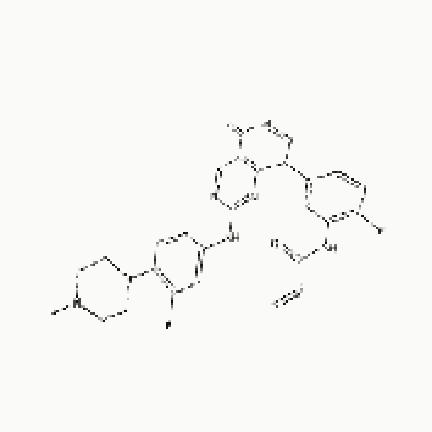 C=CC(=O)Nc1cc(-n2cnc(=O)c3cnc(Nc4ccc(N5CCN(C)CC5)c(F)c4)nc32)ccc1F